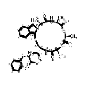 C[C@@H]1NC(=O)[C@H](C)NC(=O)[C@H](C)n2cc3ccccc3c2SC[C@@H](C(=O)N[C@@H](Cc2ccccc2)C(N)=O)NC(=O)[C@H](C)NC1=O